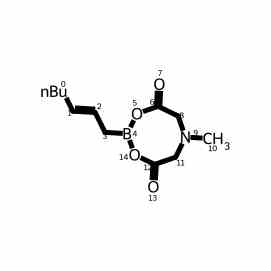 CCCCC=CCB1OC(=O)CN(C)CC(=O)O1